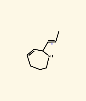 C/C=C/C1C=CCCCN1